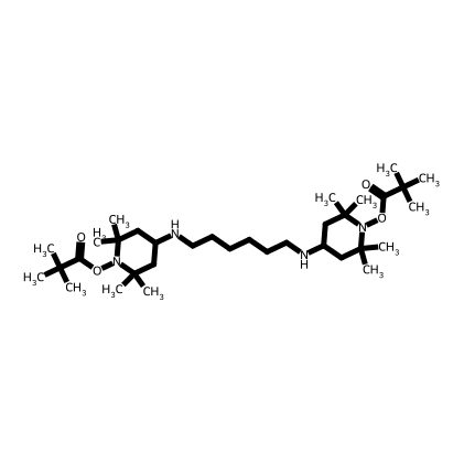 CC(C)(C)C(=O)ON1C(C)(C)CC(NCCCCCCNC2CC(C)(C)N(OC(=O)C(C)(C)C)C(C)(C)C2)CC1(C)C